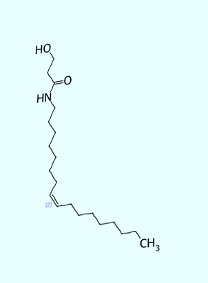 CCCCCCCC/C=C\CCCCCCCNC(=O)CCO